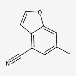 Cc1cc(C#N)c2ccoc2c1